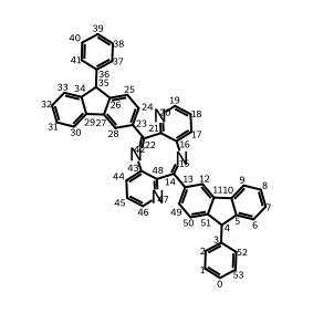 c1ccc(C2c3ccccc3-c3cc(/C4=N/c5cccnc5/C(c5ccc6c(c5)-c5ccccc5C6c5ccccc5)=N\c5cccnc54)ccc32)cc1